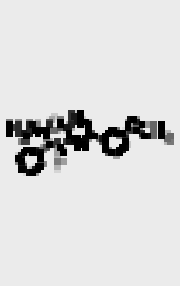 COc1cccc(-c2cncc(NC(C(N)=O)c3ccccc3)n2)c1